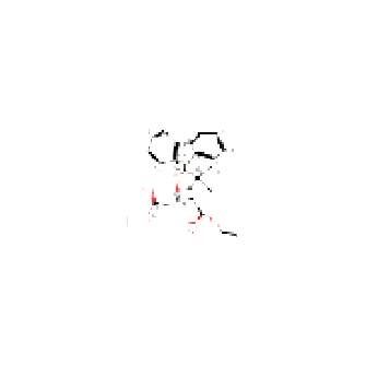 CCOC(=O)C[C@@H](CC(=O)O)O[Si](c1ccccc1)(c1ccccc1)C(C)(C)C